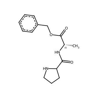 C[C@H](NC(=O)C1CCCN1)C(=O)OCc1ccccc1